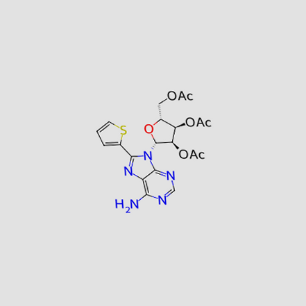 CC(=O)OC[C@H]1O[C@@H](n2c(-c3cccs3)nc3c(N)ncnc32)[C@H](OC(C)=O)[C@@H]1OC(C)=O